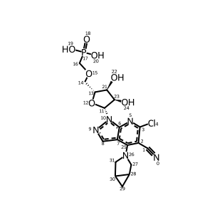 N#Cc1c(Cl)nc2c(cnn2[C@@H]2O[C@H](COCP(=O)(O)O)[C@@H](O)[C@H]2O)c1N1CC2CC2C1